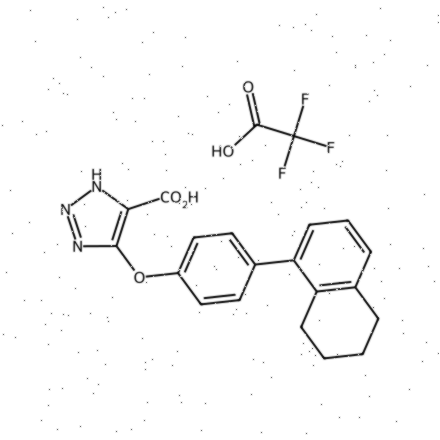 O=C(O)C(F)(F)F.O=C(O)c1[nH]nnc1Oc1ccc(-c2cccc3c2CCCC3)cc1